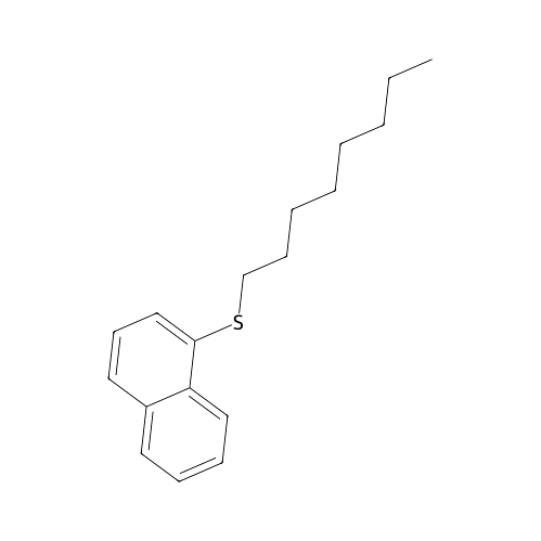 CCCCCCCCSc1cccc2ccccc12